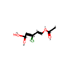 CC(=O)OC=CC(Cl)=CC(=O)O